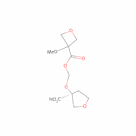 COC1(C(=O)OCO[C@@]2(C(=O)O)CCOC2)COC1